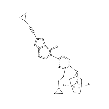 CN1[C@@H]2CC[C@H]1C[C@@H](Oc1ccc(-n3cnc4cc(C#CC5CC5)sc4c3=O)cc1CCC1CC1)C2